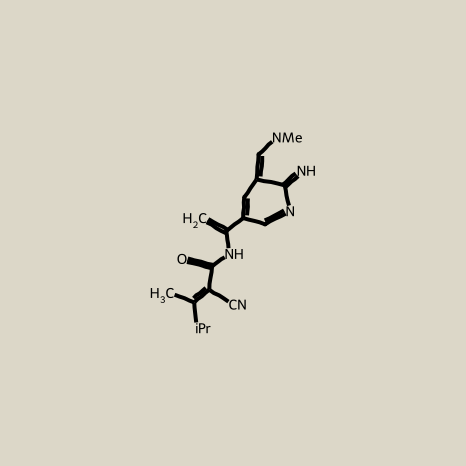 C=C(NC(=O)/C(C#N)=C(\C)C(C)C)C1=C/C(=C/NC)C(=N)N=C1